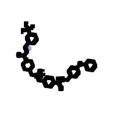 O=C(NCc1ccc(Oc2ccccc2)cc1)c1ccc(C[NH+]([O-])CC2CCN(C(=O)/C=C/c3cccc(C(F)(F)F)c3)CC2)cc1